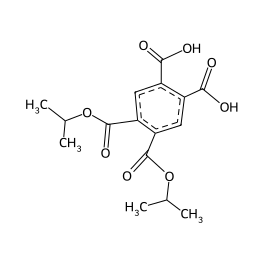 CC(C)OC(=O)c1cc(C(=O)O)c(C(=O)O)cc1C(=O)OC(C)C